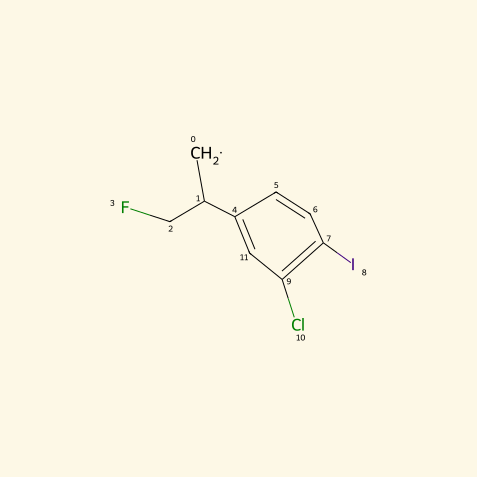 [CH2]C(CF)c1ccc(I)c(Cl)c1